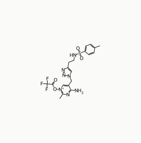 Cc1ccc(S(=O)(=O)NCCc2cn(Cc3c[n+](OC(=O)C(F)(F)F)c(C)nc3N)nn2)cc1